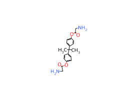 CC(C)(c1ccc(OC(=O)CN)cc1)c1ccc(OC(=O)CN)cc1